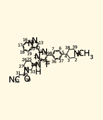 CN1CCC(c2ccc(-c3nc(-c4cnn5ccccc45)nc(N[C@@H]4CCCN(C(=O)CC#N)C4)c3F)cc2)CC1